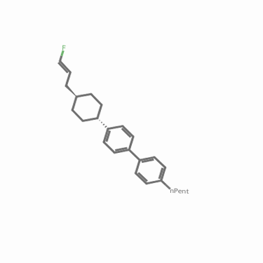 CCCCCc1ccc(-c2ccc([C@H]3CC[C@H](CC=CF)CC3)cc2)cc1